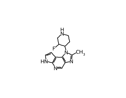 Cc1nc2cnc3[nH]ccc3c2n1C1CCNCC1F